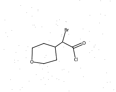 O=C(Cl)C(Br)C1CCOCC1